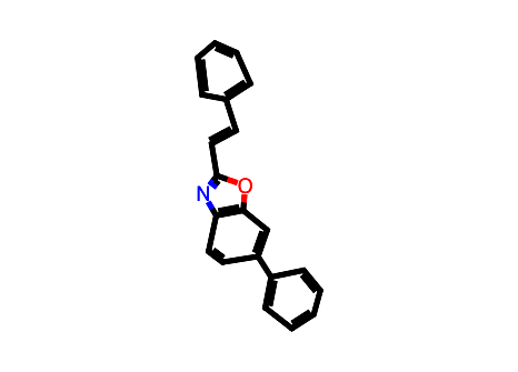 C(=Cc1nc2ccc(-c3ccccc3)cc2o1)c1ccccc1